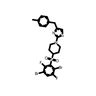 Cc1ccc(Cc2csc(N3CCC(S(=O)(=O)c4c(F)c(Br)cc(F)c4Br)CC3)n2)cc1